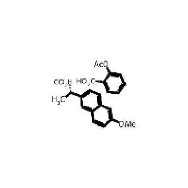 CC(=O)Oc1ccccc1C(=O)O.COc1ccc2cc([C@H](C)C(=O)O)ccc2c1